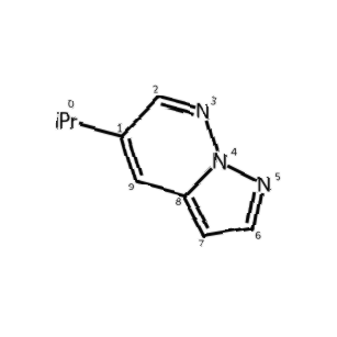 CC(C)c1cnn2nccc2c1